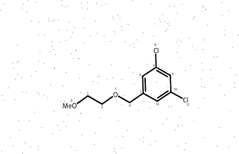 COCCOCc1cc(Cl)cc(Cl)c1